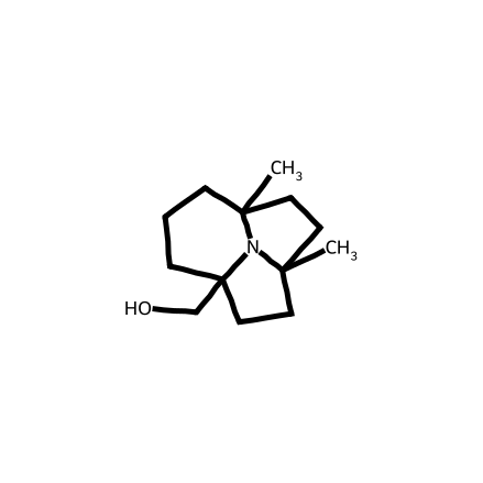 CC12CCCC3(CO)CCC(C)(CC1)N23